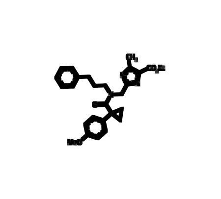 CCOC(=O)c1nc(CN(CCCc2ccccc2)C(=O)C2(c3ccc(OC)cc3)CC2)sc1C